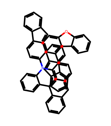 C1=CC2(C3=Cc4ccccc4C3=C1)C1=Cc3ccccc3C1=CC=C2N(c1ccccc1-c1cccc2ccccc12)c1ccccc1-c1cccc2oc3ccccc3c12